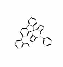 N=Cc1ccccc1-c1ccc2c(c1)C1(c3ccccc3-2)c2ccccc2N(c2ccccc2)c2ccccc21